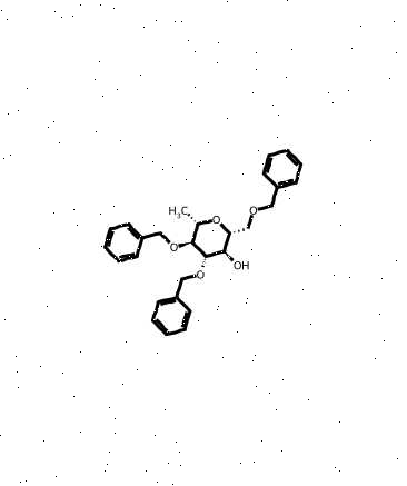 C[C@@H]1O[C@H](COCc2ccccc2)[C@@H](O)[C@H](OCc2ccccc2)[C@H]1OCc1ccccc1